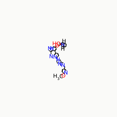 COc1ccc(CN2CC3CN(c4ccc(-c5cc(OCCN6[C@@H]7CC[C@H]6C[C@@H](O)C7)cn6ncc(C#N)c56)cn4)CCN3C2)cn1